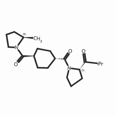 CC(C)C(=O)[C@@H]1CCCN1C(=O)[C@H]1CC[C@H](C(=O)N2CCC[C@H]2C)CC1